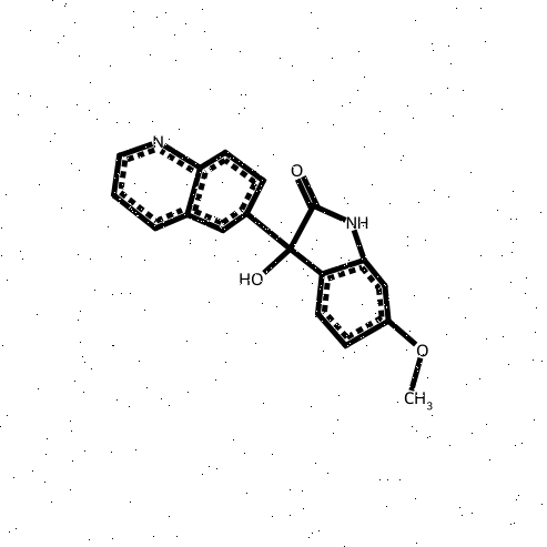 COc1ccc2c(c1)NC(=O)C2(O)c1ccc2ncccc2c1